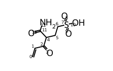 C=CC(=O)C(CCS(=O)(=O)O)C(N)=O